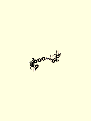 COc1cc(N2CCC(N3CCN(C/C=C/CNc4cccc5c4CN(C4CCC(=O)NC4=O)C5=O)CC3)CC2)ccc1Nc1ncc(Cl)c(Nc2ccccc2P(C)C)n1